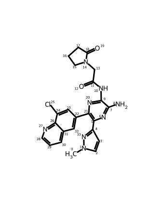 Cn1ccc(-c2nc(N)c(NC(=O)CN3CCCC3=O)nc2-c2cc(Cl)c3ncccc3c2)n1